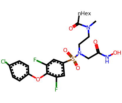 CCCCCCC(=O)N(C)CCN(CC(=O)NO)S(=O)(=O)c1cc(F)c(Oc2ccc(Cl)cc2)c(F)c1